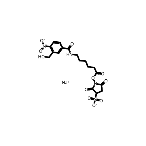 O=C(CCCCCNC(=O)c1ccc([N+](=O)[O-])c(CO)c1)ON1C(=O)CC(S(=O)(=O)[O-])C1=O.[Na+]